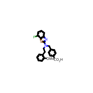 COc1ccccc1CCN(Cc1ccc(C(=O)O)cc1)c1nc2cccc(F)c2s1